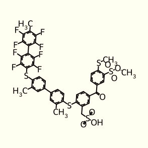 COS(=O)(=O)c1cc(C(=O)c2ccc(Sc3ccc(-c4ccc(Sc5c(F)c(F)c(-c6c(F)c(F)c(C)c(F)c6F)c(F)c5F)c(C)c4)cc3C)c(CS(=O)(=O)O)c2)ccc1SC